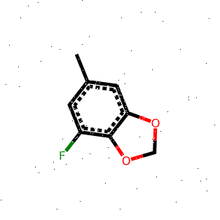 Cc1cc(F)c2c(c1)OCO2